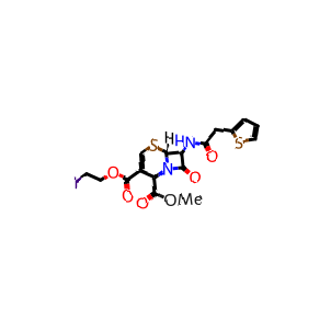 COC(=O)C1C(C(=O)OCCI)=CS[C@@H]2C(NC(=O)Cc3cccs3)C(=O)N12